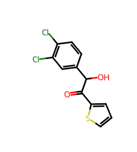 O=C(c1cccs1)C(O)c1ccc(Cl)c(Cl)c1